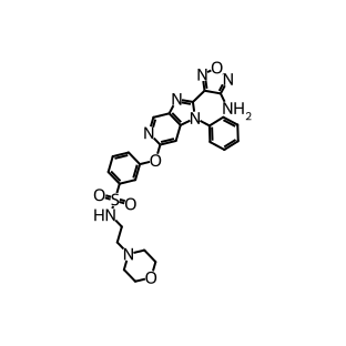 Nc1nonc1-c1nc2cnc(Oc3cccc(S(=O)(=O)NCCN4CCOCC4)c3)cc2n1-c1ccccc1